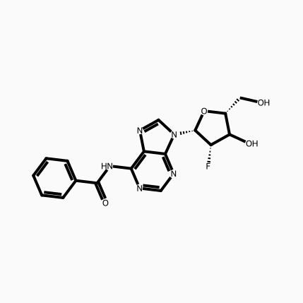 O=C(Nc1ncnc2c1ncn2[C@@H]1O[C@H](CO)C(O)[C@@H]1F)c1ccccc1